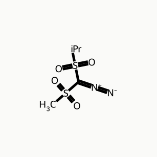 CC(C)S(=O)(=O)C(=[N+]=[N-])S(C)(=O)=O